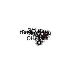 CC(C)(C)c1cnc(/C=C\c2cc(N(c3c(F)cccc3F)N(C=O)N(c3cc(/C=C\c4ncc(C(C)(C)C)o4)[nH]n3)c3c(F)cccc3F)n[nH]2)o1